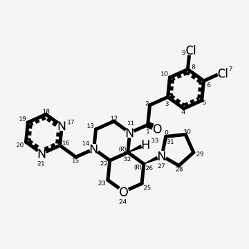 O=C(Cc1ccc(Cl)c(Cl)c1)N1CCN(Cc2ncccn2)C2COC[C@H](N3CCCC3)[C@H]21